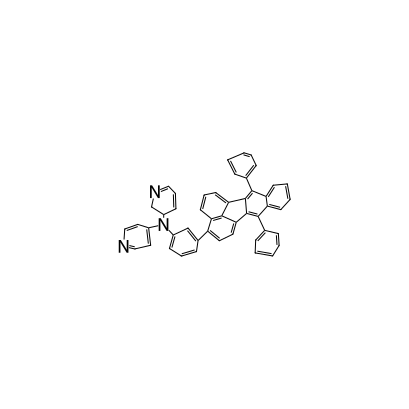 C1=CC(N(c2ccncc2)c2cccc(-c3ccc4c5c(cccc35)-c3c-4c(-c4ccccc4)c4ccccc4c3-c3ccccc3)c2)CN=C1